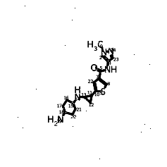 Cn1cc(NC(=O)c2csc(C3CC3NC3CCC(N)CC3)c2)cn1